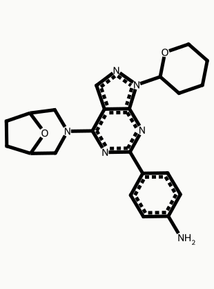 Nc1ccc(-c2nc(N3CC4CCC(C3)O4)c3cnn(C4CCCCO4)c3n2)cc1